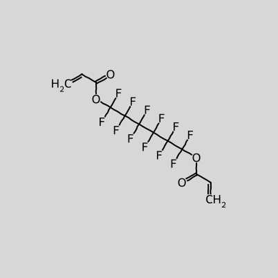 C=CC(=O)OC(F)(F)C(F)(F)C(F)(F)C(F)(F)C(F)(F)C(F)(F)OC(=O)C=C